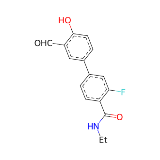 CCNC(=O)c1ccc(-c2ccc(O)c(C=O)c2)cc1F